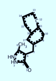 Cc1[nH][nH]c(=O)c1Cc1ccc2ccccc2c1